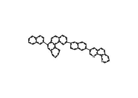 c1ccc2cc(-c3cc4ccccc4c4c3ccc3ccc(-c5ccc6cc(-c7cnc8c(ccc9cccnc98)c7)ccc6c5)cc34)ccc2c1